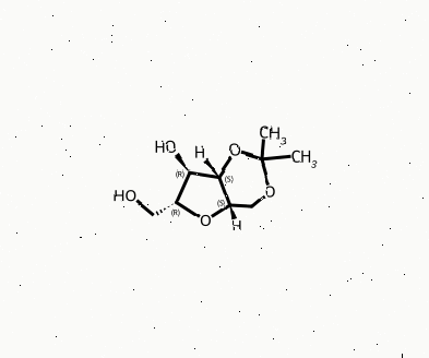 CC1(C)OC[C@@H]2O[C@H](CO)[C@@H](O)[C@@H]2O1